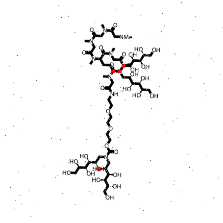 CNCC(=O)N(C)CC(=O)N(C)CC(=O)N(C)C(CCCN(C[C@H](O)[C@@H](O)[C@H](O)[C@H](O)CO)C[C@H](O)[C@@H](O)[C@H](O)[C@H](O)CO)C(=O)N(C)CC(=O)N(C)CC(=O)N(C)CC(=O)NCCOCCOCCOC(=O)N(C[C@H](O)[C@@H](O)[C@H](O)[C@H](O)CO)C[C@H](O)[C@@H](O)[C@H](O)[C@H](O)CO